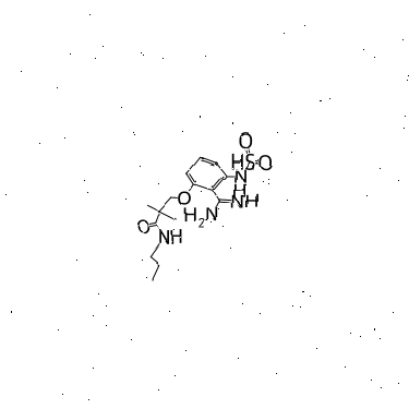 CCCNC(=O)C(C)(C)COc1cccc(N[SH](=O)=O)c1C(=N)N